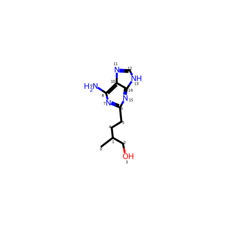 CC(CO)CCc1nc(N)c2nc[nH]c2n1